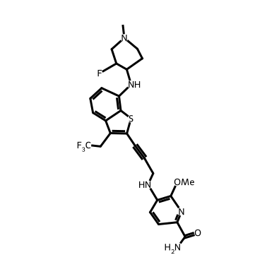 COc1nc(C(N)=O)ccc1NCC#Cc1sc2c(NC3CCN(C)CC3F)cccc2c1CC(F)(F)F